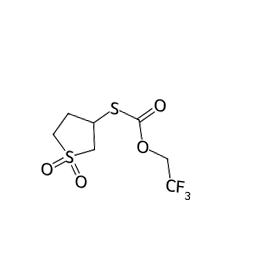 O=C(OCC(F)(F)F)SC1CCS(=O)(=O)C1